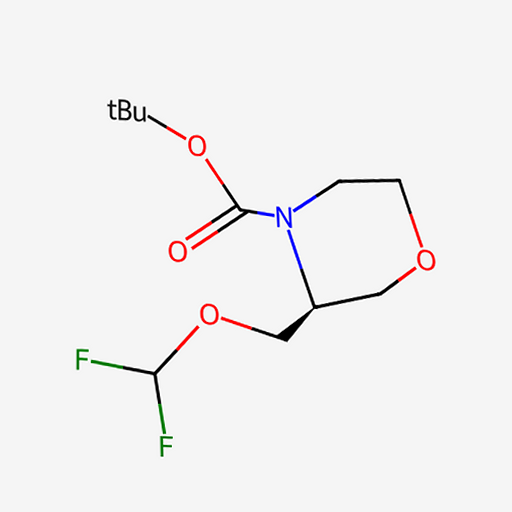 CC(C)(C)OC(=O)N1CCOC[C@H]1COC(F)F